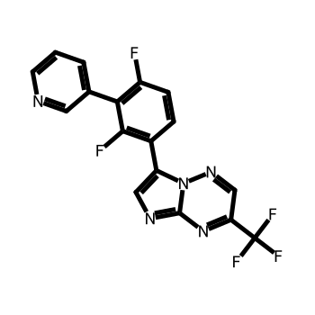 Fc1ccc(-c2cnc3nc(C(F)(F)F)cnn23)c(F)c1-c1cccnc1